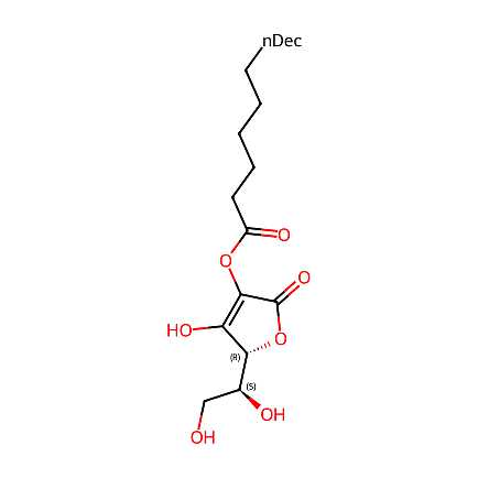 CCCCCCCCCCCCCCCC(=O)OC1=C(O)[C@@H]([C@@H](O)CO)OC1=O